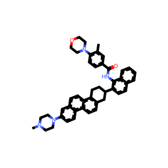 Cc1cc(C(=O)Nc2c(C3CCc4c(ccc5c4ccc4cc(N6CCN(C)CC6)ccc45)C3)ccc3ccccc23)ccc1N1CCOCC1